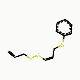 C=CCSS/C=C\CSc1ccccc1